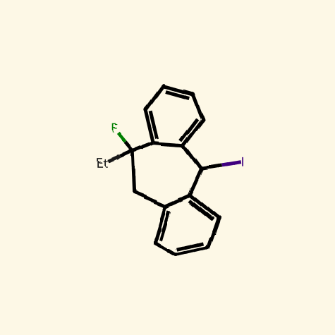 CCC1(F)Cc2ccccc2C(I)c2ccccc21